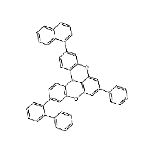 c1ccc(-c2cc3c4c(c2)Oc2cc(-c5cccc6ccccc56)ccc2N4c2ccc(-c4ccccc4-c4ccccc4)cc2O3)cc1